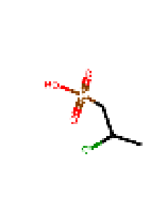 [CH2]C(Cl)CS(=O)(=O)O